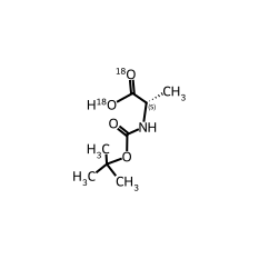 C[C@H](NC(=O)OC(C)(C)C)C(=[18O])[18OH]